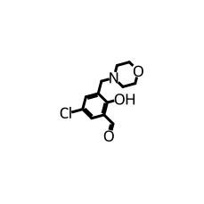 O=Cc1cc(Cl)cc(CN2CCOCC2)c1O